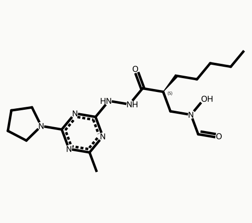 CCCCC[C@@H](CN(O)C=O)C(=O)NNc1nc(C)nc(N2CCCC2)n1